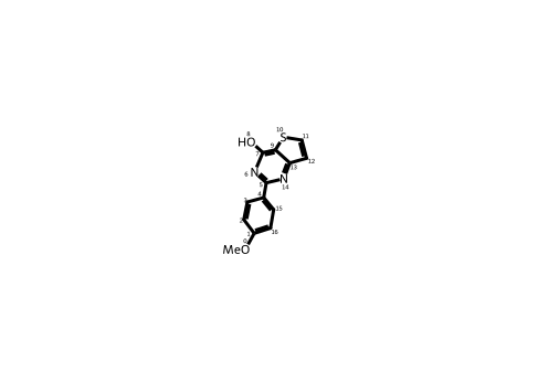 COc1ccc(-c2nc(O)c3sccc3n2)cc1